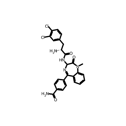 CN1C(=O)C(NC(=O)[C@H](N)Cc2ccc(Cl)c(Cl)c2)N=C(c2ccc(C(N)=O)cc2)c2ccccc21